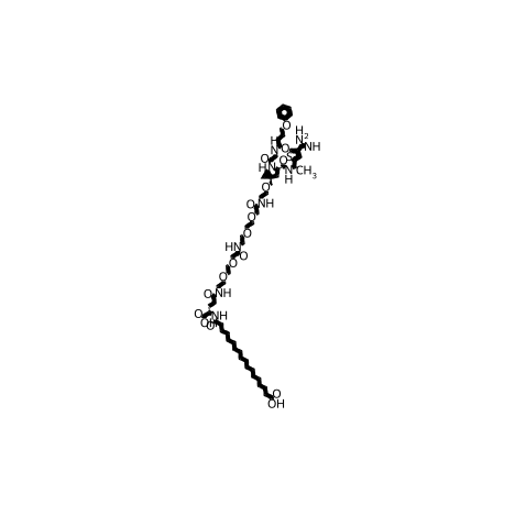 C[C@@H](NC(=O)[C@@H]1C[C@]2(COCCNC(=O)COCCOCCNC(=O)COCCOCCNC(=O)CC[C@H](NC(=O)CCCCCCCCCCCCCCCCC(=O)O)C(=O)O)C[C@@H]2N1C(=O)CNC(=O)CCCOc1ccccc1)c1cc(C(=N)N)cs1